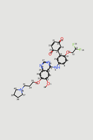 COc1cc2c(Nc3ccc(OCC(F)F)c(C4=CC(=O)C=CC4=O)c3)ncnc2cc1OCCCN1CCCC1